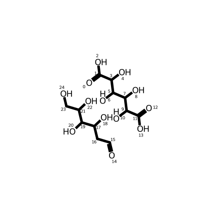 O=C(O)C(O)C(O)C(O)C(O)C(=O)O.O=CCC(O)C(O)C(O)CO